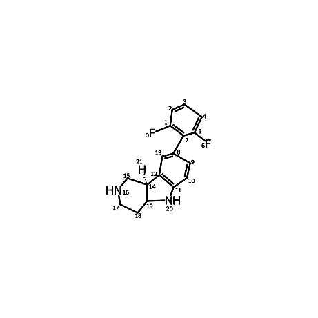 Fc1cccc(F)c1-c1ccc2c(c1)[C@@H]1CNCCC1N2